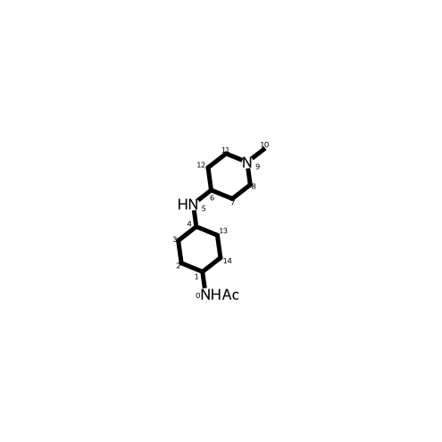 CC(=O)NC1CCC(NC2CCN(C)CC2)CC1